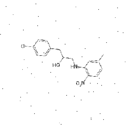 Cc1ccc([N+](=O)[O-])c(NCC(O)Cc2ccc(Cl)cc2)c1